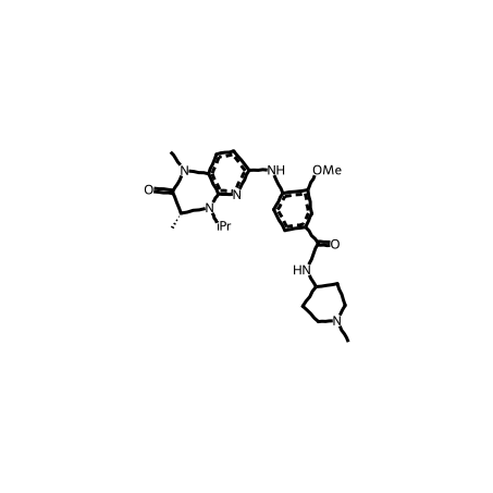 COc1cc(C(=O)NC2CCN(C)CC2)ccc1Nc1ccc2c(n1)N(C(C)C)[C@H](C)C(=O)N2C